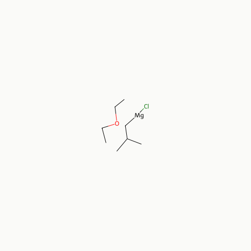 CC(C)[CH2][Mg][Cl].CCOCC